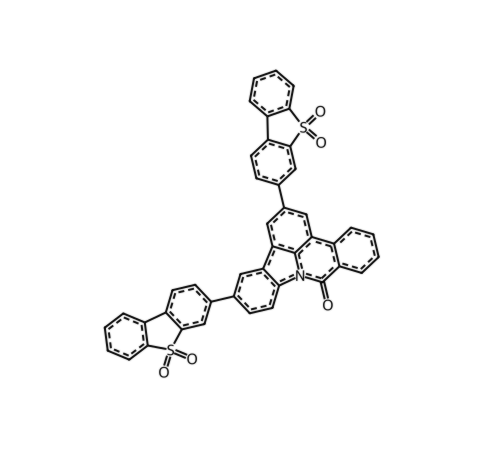 O=c1c2ccccc2c2cc(-c3ccc4c(c3)S(=O)(=O)c3ccccc3-4)cc3c4cc(-c5ccc6c(c5)S(=O)(=O)c5ccccc5-6)ccc4n1c23